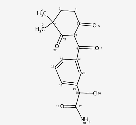 CC1(C)CCC(=O)C(C(=O)c2cccc(C(Cl)C(N)=O)c2)C1=O